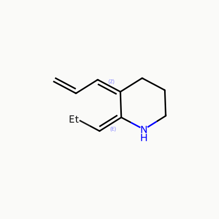 C=C/C=C1/CCCN/C1=C/CC